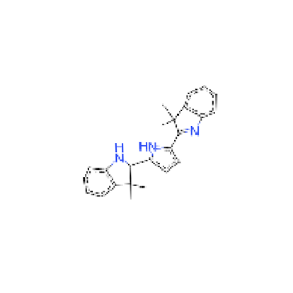 CC1(C)C(c2ccc(C3Nc4ccccc4C3(C)C)[nH]2)=Nc2ccccc21